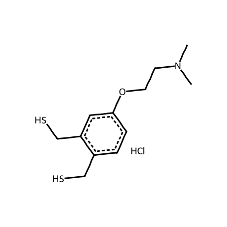 CN(C)CCOc1ccc(CS)c(CS)c1.Cl